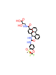 CS(=O)(=O)c1cc(NC(=O)NC(c2ccc(C(=O)NCC(O)C(=O)O)cc2)c2ccccc2C2CC=CCC2)ccc1OC(F)(F)F